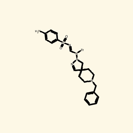 CCN(C=NS(=O)(=O)c1ccc(N)cc1)N1CC2(C=N1)CCN(Cc1ccccc1)CC2